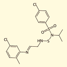 Cc1ccc(Cl)cc1N=CCNSN(C(C)C)S(=O)(=O)c1ccc(Cl)cc1